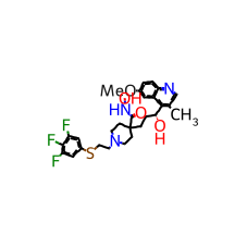 COc1ccc2ncc(C)c([C@H](O)CCC3(C(=O)NO)CCN(CCSc4cc(F)c(F)c(F)c4)CC3)c2c1